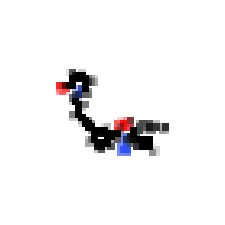 COC(=O)[C@@H](C)NC(=O)c1cccc(C#CCCCn2ccccc2=O)c1